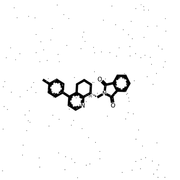 Cc1ccc(-c2ccnc3c2CCC[C@@H]3CN2C(=O)c3ccccc3C2=O)cc1